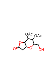 CC(=O)OC1C(CO)OC2CC(=O)OC2C1OC(C)=O